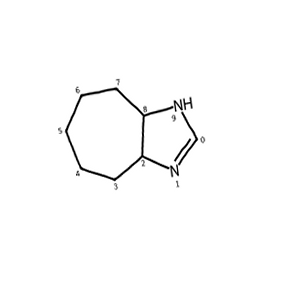 C1=NC2CCCCCC2N1